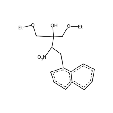 CCOCC(O)(COCC)C(Cc1cccc2ccccc12)[N+](=O)[O-]